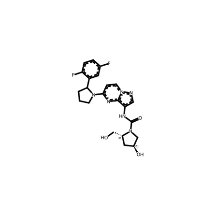 O=C(Nc1cnn2ccc(N3CCCC3c3cc(F)ccc3F)nc12)N1C[C@@H](O)C[C@@H]1CO